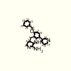 Nc1nccc(Cc2cc(-c3cccnc3)ccc2OCc2ccccc2)c1N